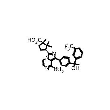 CC(O)(c1ccc(-c2nc([C@H]3CC[C@@](C)(C(=O)O)C3(C)C)n3ccnc(N)c23)cc1)c1cccc(C(F)(F)F)c1